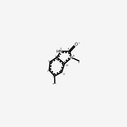 [CH2]c1ccc2[nH]c(=O)n(C)c2c1